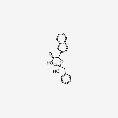 O=C(O)C(OP(=O)(O)Cc1ccccc1)c1ccc2ccccc2c1